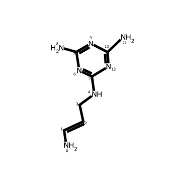 NC=CCNc1nc(N)nc(N)n1